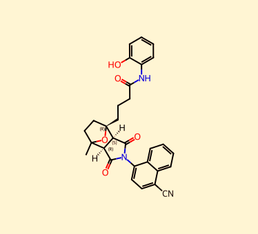 CC12CC[C@@](CCCC(=O)Nc3ccccc3O)(O1)[C@H]1C(=O)N(c3ccc(C#N)c4ccccc34)C(=O)[C@H]12